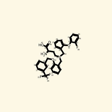 NC(CCN(Cc1ccccc1OCc1cccc(C(F)(F)F)c1)Cc1ccccc1Oc1ccccc1F)C(=O)O